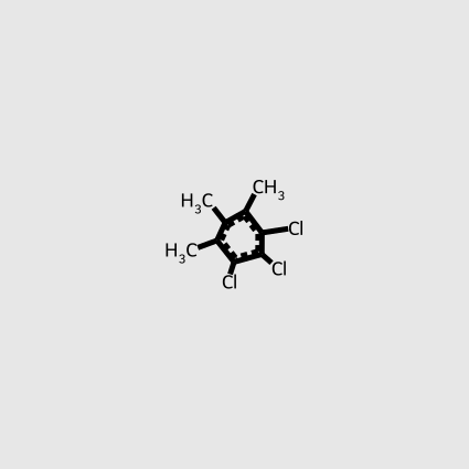 Cc1c(C)c(Cl)c(Cl)c(Cl)c1C